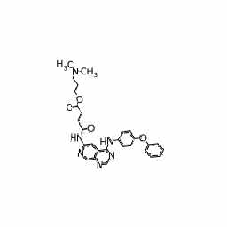 CN(C)CCCOC(=O)C=CC(=O)Nc1cc2c(Nc3ccc(Oc4ccccc4)cc3)ncnc2cn1